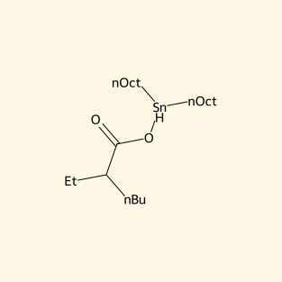 CCCCCCC[CH2][SnH]([CH2]CCCCCCC)[O]C(=O)C(CC)CCCC